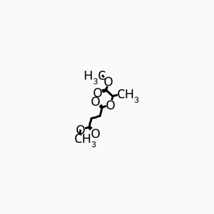 COC(=O)CCC(=O)OC(C)C(=O)OC